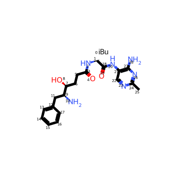 CC[C@H](C)[C@H](NC(=O)CC[C@H](O)[C@@H](N)Cc1ccccc1)C(=O)Nc1cnc(C)nc1N